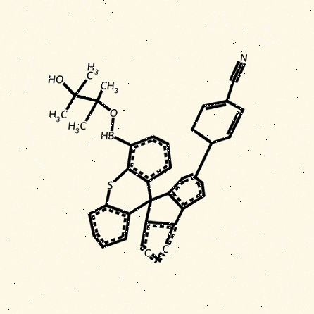 CC(C)(O)C(C)(C)OBc1cccc2c1Sc1ccccc1C21c2ccccc2-c2ccc(C3C=CC(C#N)=CC3)cc21